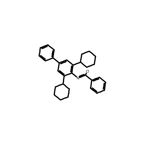 Cl/C(=N\c1c(C2CCCCC2)cc(-c2ccccc2)cc1C1CCCCC1)c1ccccc1